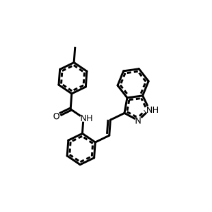 Cc1ccc(C(=O)Nc2ccccc2C=Cc2n[nH]c3ccccc23)cc1